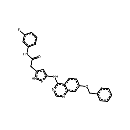 O=C(Cc1cc(Nc2ncnc3cc(OCc4ccccc4)ccc23)n[nH]1)Nc1cccc(F)c1